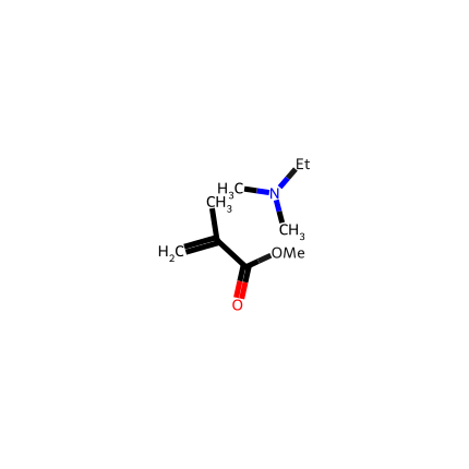 C=C(C)C(=O)OC.CCN(C)C